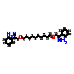 NC(COCCCCCCCCCCOCC(N)c1ccccc1)c1ccccc1